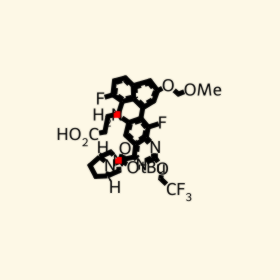 COCOc1cc(-c2c(N)cc3c(N4C[C@H]5CC[C@@H](C4)N5C(=O)OC(C)(C)C)nc(OCC(F)(F)F)nc3c2F)c2c(CCCC(=O)O)c(F)ccc2c1